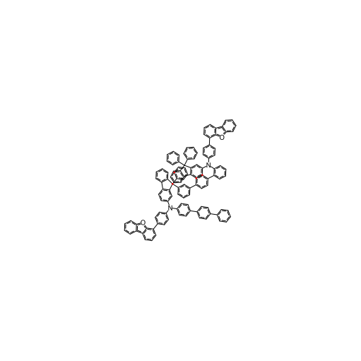 c1ccc(-c2ccc(-c3ccc(N(c4ccc(-c5cccc6c5oc5ccccc56)cc4)c4ccc5c(c4)C(c4ccccc4)(c4cccc(-c6ccc(-c7ccccc7N(c7ccc(-c8cccc9c8oc8ccccc89)cc7)c7ccc8c(c7)C(c7ccccc7)(c7ccccc7)c7ccccc7-8)cc6)c4)c4ccccc4-5)cc3)cc2)cc1